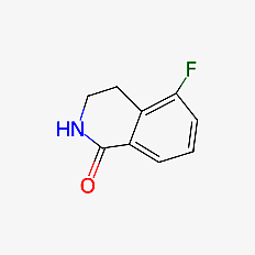 O=C1NCCc2c(F)cccc21